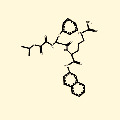 CC(C)OC(=O)C(=O)NC(Cc1ccccc1)C(=O)NC(CCCNC(=N)N)C(=O)Nc1ccc2ccccc2c1